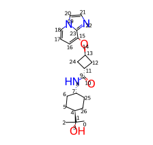 CC(C)(O)[C@H]1CC[C@H](NC(=O)[C@H]2C[C@H](Oc3cccn4ccnc34)C2)CC1